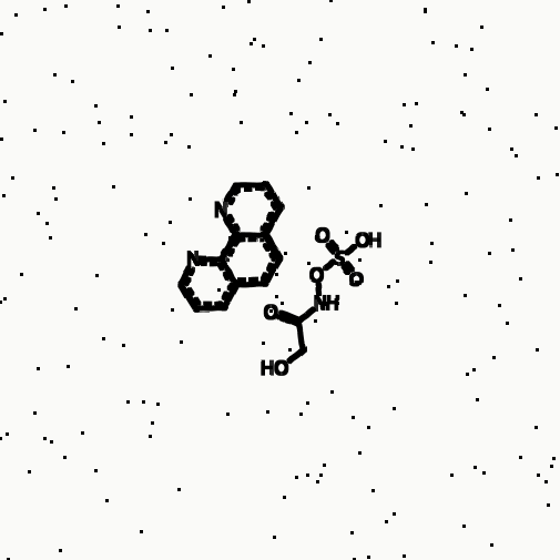 O=C(CO)NOS(=O)(=O)O.c1cnc2c(c1)ccc1cccnc12